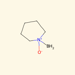 B[N+]1([O-])CCCCC1